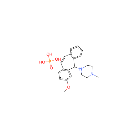 COc1ccc2c(c1)C(N1CCN(C)CC1)c1ccccc1C=C2.O=P(O)(O)O